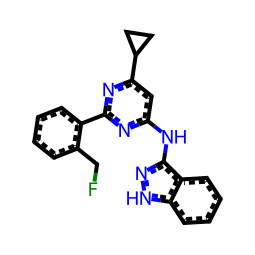 FCc1ccccc1-c1nc(Nc2n[nH]c3ccccc23)cc(C2CC2)n1